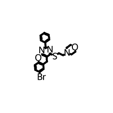 Brc1ccc2c(c1)Cc1c(nc(-c3ccccc3)nc1SCCN1CCOCC1)O2